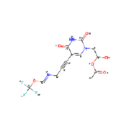 CC(=O)OC(O)Cn1cc(C#CCN=COC(F)(F)F)c(=O)[nH]c1=O